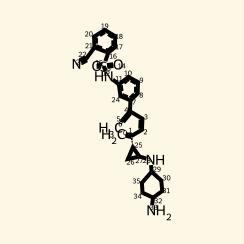 C=C(/C=C\C(=C/C)c1cccc(NS(=O)(=O)c2ccccc2C#N)c1)[C@H]1CC1NC1CCC(N)CC1